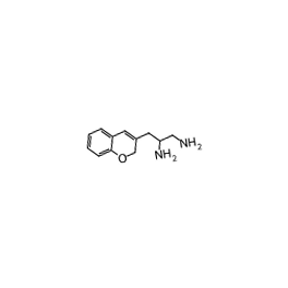 NCC(N)CC1=Cc2ccccc2OC1